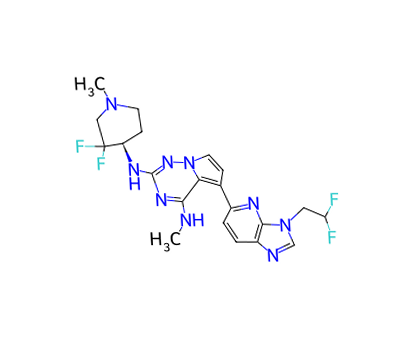 CNc1nc(N[C@@H]2CCN(C)CC2(F)F)nn2ccc(-c3ccc4ncn(CC(F)F)c4n3)c12